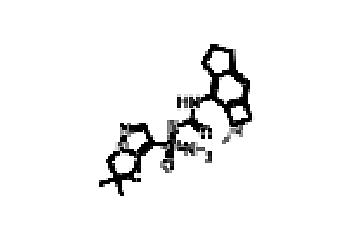 C[C@H]1Cc2cc3c(c(NC(=O)N=[S@](N)(=O)c4cnn5c4OC(C)(C)C5)c21)CCC3